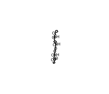 O=C(CCc1ccc(NC(=O)CCOCCOCCNC(=O)CCN2C(=O)CC(C3CCCC3)C2=O)cc1)NCCC(=O)C1CCCCC1